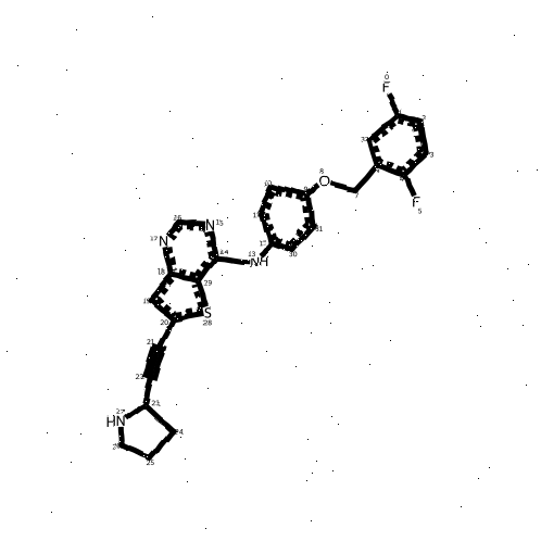 Fc1ccc(F)c(COc2ccc(Nc3ncnc4cc(C#CC5CCCN5)sc34)cc2)c1